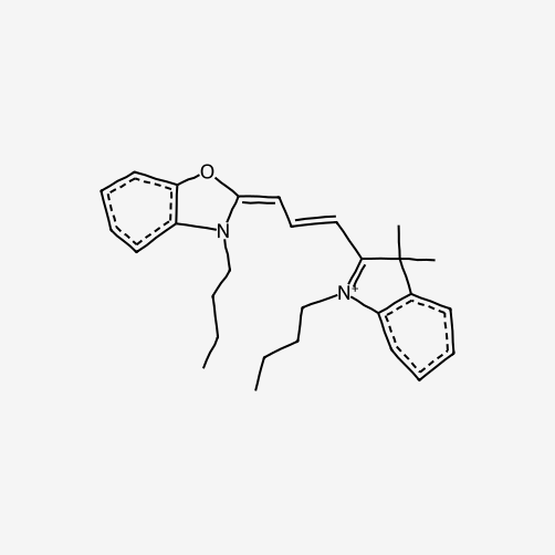 CCCCN1C(=CC=CC2=[N+](CCCC)c3ccccc3C2(C)C)Oc2ccccc21